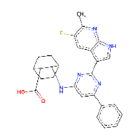 Cc1nc2[nH]cc(-c3nc(NC4C5CCC(CC5)C4C(=O)O)cc(-c4ccccc4)n3)c2cc1F